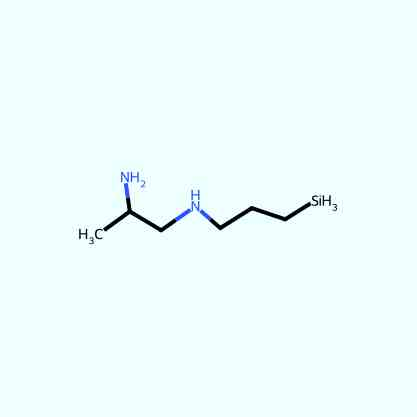 CC(N)CNCCC[SiH3]